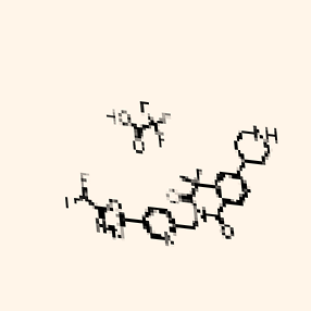 CC1(C)C(=O)N(Cc2ccc(-c3nnc(C(F)F)o3)cn2)C(=O)c2ccc(C3CCNCC3)cc21.O=C(O)C(F)(F)F